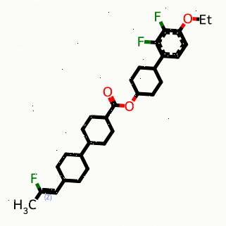 CCOc1ccc(C2CCC(OC(=O)C3CCC(C4CCC(/C=C(/C)F)CC4)CC3)CC2)c(F)c1F